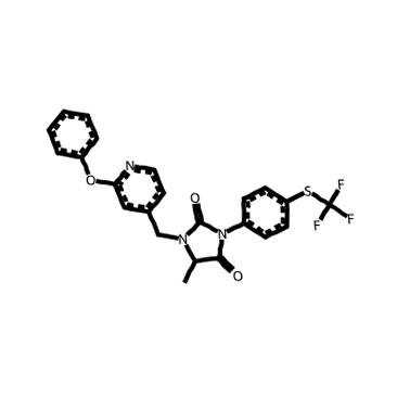 CC1C(=O)N(c2ccc(SC(F)(F)F)cc2)C(=O)N1Cc1ccnc(Oc2ccccc2)c1